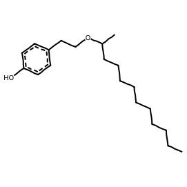 CCCCCCCCCCC(C)OCCc1ccc(O)cc1